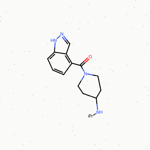 CC(C)NC1CCN(C(=O)c2cccc3[nH]ncc23)CC1